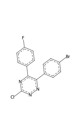 Fc1ccc(-c2nc(Cl)nnc2-c2ccc(Br)cc2)cc1